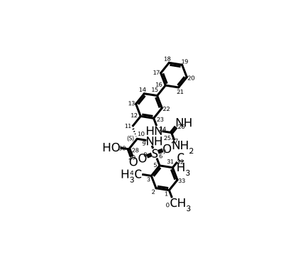 Cc1cc(C)c(S(=O)(=O)N[C@@H](Cc2ccc(-c3ccccc3)cc2NC(=N)N)C(=O)O)c(C)c1